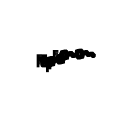 CCCCC1CCC(CCc2ccc3c(F)c(-c4ccc(OC(F)(F)F)c(F)c4)ccc3c2)CC1